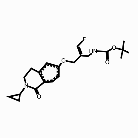 CC(C)(C)OC(=O)NCC(=CF)COc1ccc2c(c1)CCN(C1CC1)C2=O